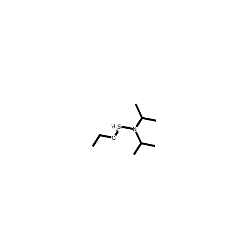 CCO[SiH2]N(C(C)C)C(C)C